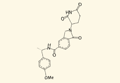 COc1ccc([C@H](C)NC(=O)c2ccc3c(c2)CN(C2CCC(=O)NC2=O)C3=O)cc1